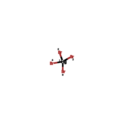 [Br][Hg]([Br])([Br])[Br]